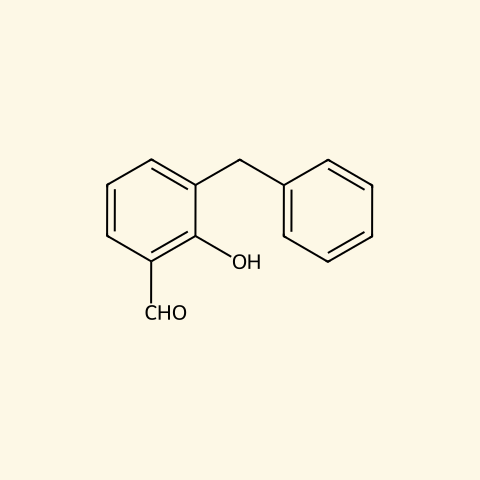 O=Cc1cccc(Cc2ccccc2)c1O